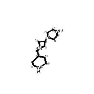 C1CC(CN2CC(N3CCNCC3)C2)CCN1